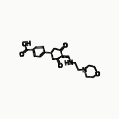 O=C1CC(c2ccc(C(=O)O)cc2)CC(=O)C1=CNCCN1CCOCC1